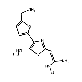 CCNC(N)=Nc1nc(-c2ccc(CN)o2)cs1.Cl.Cl